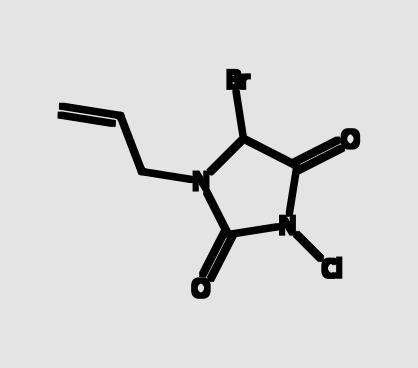 C=CCN1C(=O)N(Cl)C(=O)C1Br